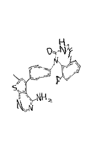 Cc1sc2ncnc(N)c2c1-c1ccc(N(C(N)=O)c2c(F)cccc2F)cc1